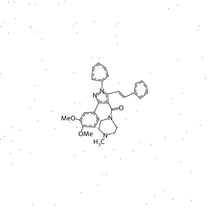 COc1ccc(-c2nn(-c3ccccc3)c(/C=C/c3ccccc3)c2C(=O)N2CCN(C)CC2)cc1OC